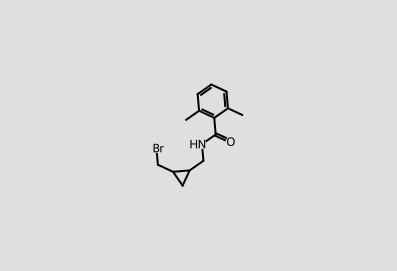 Cc1cccc(C)c1C(=O)NCC1CC1CBr